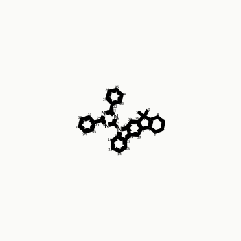 CC1(C)C2=C(CCCC2)c2cc3c4ccccc4n(-c4nc(-c5ccccc5)nc(-c5ccccc5)n4)c3cc21